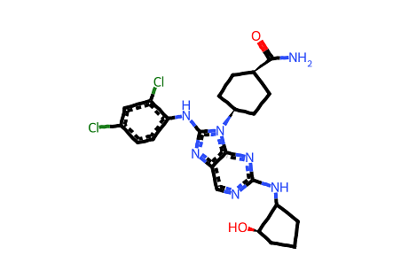 NC(=O)[C@H]1CC[C@@H](n2c(Nc3ccc(Cl)cc3Cl)nc3cnc(NC4CCC[C@H]4O)nc32)CC1